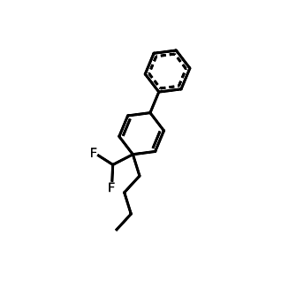 CCCCC1(C(F)F)C=CC(c2ccccc2)C=C1